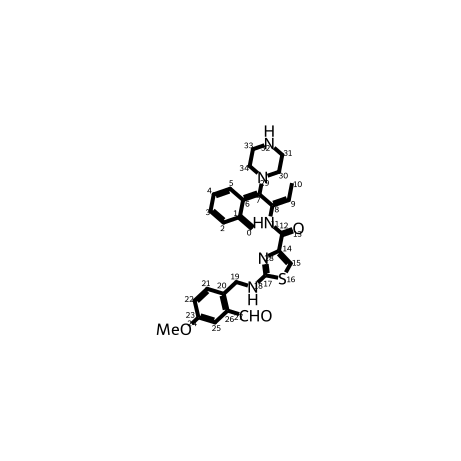 C=c1cccc/c1=C(/C(=C\C)NC(=O)c1csc(NCc2ccc(OC)cc2C=O)n1)N1CCNCC1